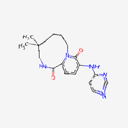 CC1(C)CCCCn2c(ccc(Nc3ccncn3)c2=O)C(=O)NC1